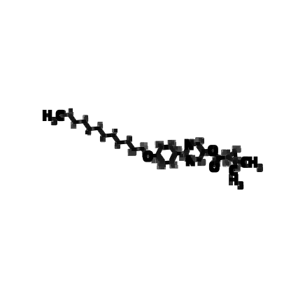 CCCCCCCCCCCCOc1ccc(-c2ncc(OC(=O)[C@H]3CC3(C)C)cn2)cc1